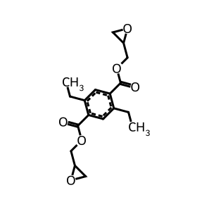 CCc1cc(C(=O)OCC2CO2)c(CC)cc1C(=O)OCC1CO1